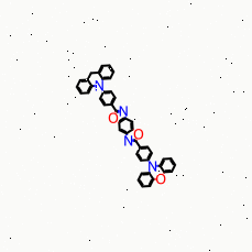 c1ccc2c(c1)Cc1ccccc1N2c1ccc(-c2nc3cc4oc(-c5ccc(N6c7ccccc7Oc7ccccc76)cc5)nc4cc3o2)cc1